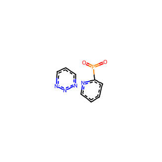 O=P(=O)c1ccccn1.c1cnnnc1